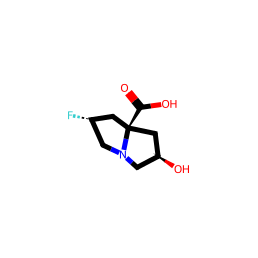 O=C(O)[C@@]12C[C@@H](O)CN1C[C@H](F)C2